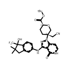 CC(C)(C)OC(=O)[C@@H]1CC[C@@](CC#N)(n2nc(Nc3ccc4c(c3)CC(C)(C)C4(O)C(F)(F)F)c3c(=O)[nH]ccc32)CO1